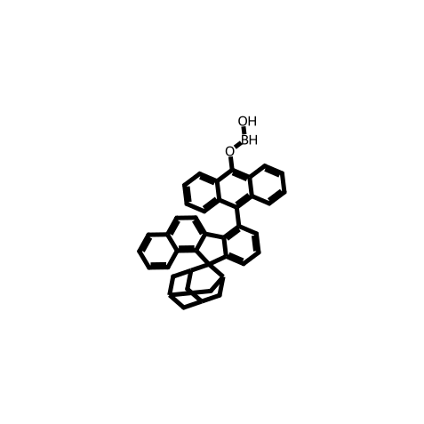 OBOc1c2ccccc2c(-c2cccc3c2-c2ccc4ccccc4c2C32C3CC4CC(C3)CC2C4)c2ccccc12